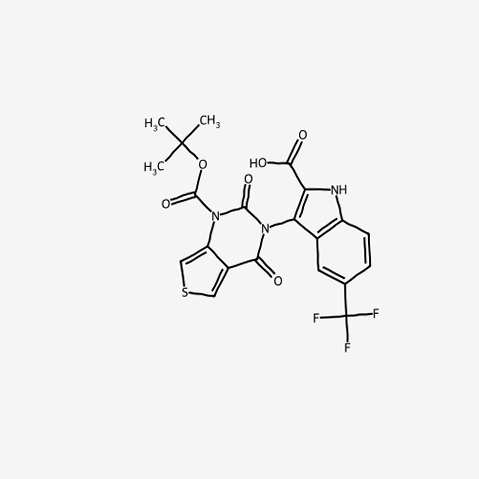 CC(C)(C)OC(=O)n1c(=O)n(-c2c(C(=O)O)[nH]c3ccc(C(F)(F)F)cc23)c(=O)c2cscc21